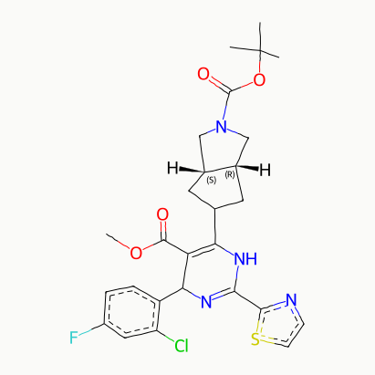 COC(=O)C1=C(C2C[C@@H]3CN(C(=O)OC(C)(C)C)C[C@@H]3C2)NC(c2nccs2)=NC1c1ccc(F)cc1Cl